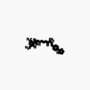 Cc1nn(C)c(Cl)c1S(=O)(=O)CNCCCC(=O)N(C)CCc1ccc(C2=NCCN2)cc1